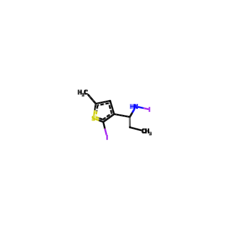 CCC(NI)c1cc(C)sc1I